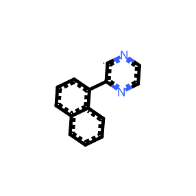 [c]1nccnc1-c1cccc2ccccc12